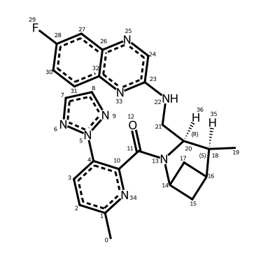 Cc1ccc(-n2nccn2)c(C(=O)N2C3CC(C3)[C@H](C)[C@@H]2CNc2cnc3cc(F)ccc3n2)n1